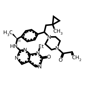 C=CC(=O)N1CCN(C(CC2(C)CC2)c2ccc([C@H](C)Nc3ncc4cnc(=O)n(CC)c4n3)cc2)CC1